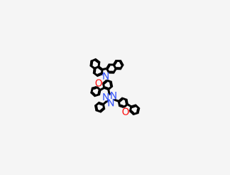 c1ccc(-c2nc(-c3ccc4c(c3)oc3ccccc34)nc(-c3ccc(-n4c5cc6ccccc6cc5c5c6ccccc6ccc54)c4oc5ccccc5c34)n2)cc1